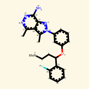 CNCCC(Oc1cccc(-n2nc3c(N)nnc(C)c3c2C)c1)c1ccccc1F